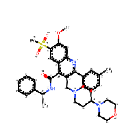 CCOc1cc2nc(-c3cccc(C(F)(F)F)c3)c(CN3CCC(N4CCOCC4)CC3)c(C(=O)N[C@H](c3ccccc3)C(F)(F)F)c2cc1S(=O)(=O)C(C)C